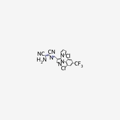 N#C/C(N)=C(C#N)/N=C/c1cnn(-c2c(Cl)cc(C(F)(F)F)cc2Cl)c1-n1cccc1